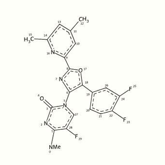 CNc1nc(=O)n(-c2nc(-c3cc(C)cc(C)n3)oc2-c2ccc(F)c(F)c2)cc1F